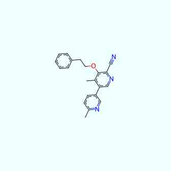 Cc1ccc(-c2cnc(C#N)c(OCCc3ccccc3)c2C)cn1